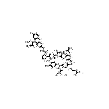 CC(=O)N[C@@H](CC(C)C)C(=O)N[C@@H](Cc1ccc(O)cc1)C(=O)N[C@@H](CCCNC(=N)N)C(=O)N[C@@H](C)C(=O)N[C@@H](CC(N)=O)C(=O)N[C@H](C(=O)N[C@H](C(=O)N[C@@H](CO)C(=O)N1CCC[C@H]1C(=O)NCC(=O)N[C@@H](Cc1ccc(O)cc1)C(=O)N[C@@H](CO)C(N)=O)[C@@H](S)C(=O)O)C(C)C